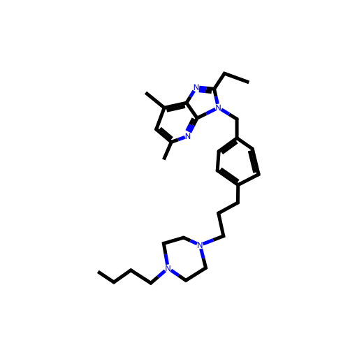 CCCCN1CCN(CCCc2ccc(Cn3c(CC)nc4c(C)cc(C)nc43)cc2)CC1